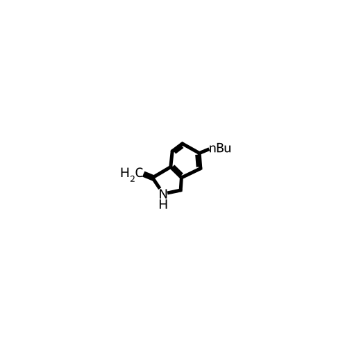 C=C1NCc2cc(CCCC)ccc21